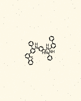 N=C(NC(NCc1cccc(-c2ccccc2)c1)c1ccc(Nc2ccc(-c3cccc4c3sc3ccccc34)cc2-c2ccccc2)cc1)c1ccccc1